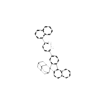 c1ccc2c(-c3ccc(-c4ccc5c(c4)C4(c6ccc7ccccc7c6-5)C5CC6CC(C5)CC4C6)nn3)cccc2c1